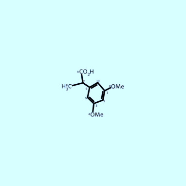 COc1cc(OC)cc(C(C)C(=O)O)c1